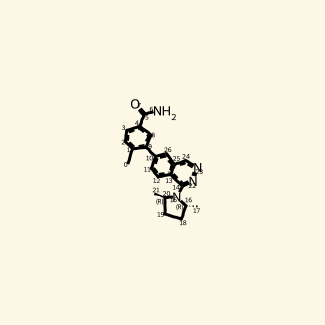 Cc1ccc(C(N)=O)cc1-c1ccc2c(N3[C@H](C)CC[C@H]3C)nncc2c1